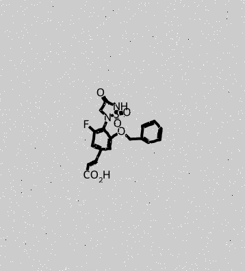 O=C(O)C=Cc1cc(F)c(N2CC(=O)NS2(=O)=O)c(OCc2ccccc2)c1